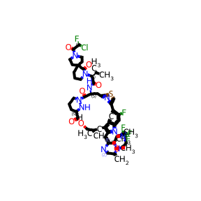 C=C(/C=N\C(=C\c1c2c3cc(c(F)cc3n1CC(F)(F)F)-c1csc(n1)C[C@H](NC(=O)[C@H](C(C)C)N1CCCC3(CCN(C(=O)[C@H](F)Cl)CC3)C1=O)C(=O)N1CCC[C@H](N1)C(=O)OCC(C)(C)C2)[C@H](C)OC)N1CCN(C)CC1